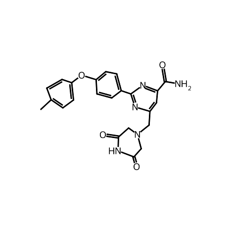 Cc1ccc(Oc2ccc(-c3nc(CN4CC(=O)NC(=O)C4)cc(C(N)=O)n3)cc2)cc1